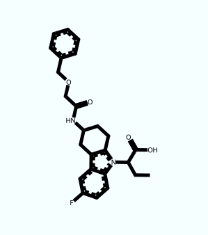 CCC(C(=O)O)n1c2c(c3cc(F)ccc31)CC(NC(=O)COCc1ccccc1)CC2